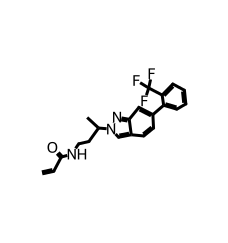 C=CC(=O)NCCC(C)n1cc2ccc(-c3ccccc3C(F)(F)F)cc2n1